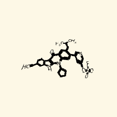 C#Cc1ccc2c(c1)[nH]c1c2c(=O)c2cc(CC(C)C)c(-c3cncc(OS(=O)(=O)F)c3)cc2n1C1CCCC1